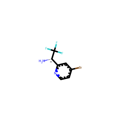 N[C@@H](c1cc(Br)ccn1)C(F)(F)F